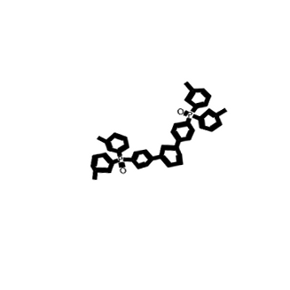 Cc1cccc(P(=O)(c2ccc(-c3cccc(-c4ccc(P(=O)(c5cccc(C)c5)c5cccc(C)c5)cc4)c3)cc2)c2cccc(C)c2)c1